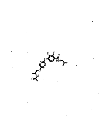 CC(=O)NC(C)COc1cnc(Oc2ccc(C(=O)NCC(C)C)c(F)c2F)cn1